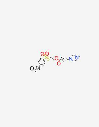 CN1CCN(CCC(C)(C)C(=O)OCCSS(=O)(=O)c2ccc([N+](=O)[O-])cc2)CC1